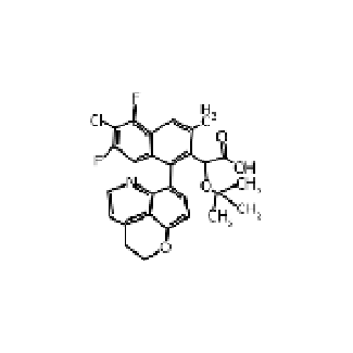 Cc1cc2c(F)c(Cl)c(F)cc2c(-c2ccc3c4c(ccnc24)CCO3)c1C(OC(C)(C)C)C(=O)O